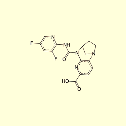 O=C(O)c1ccc2c(n1)N(C(=O)Nc1ncc(F)cc1F)C1CCN2C1